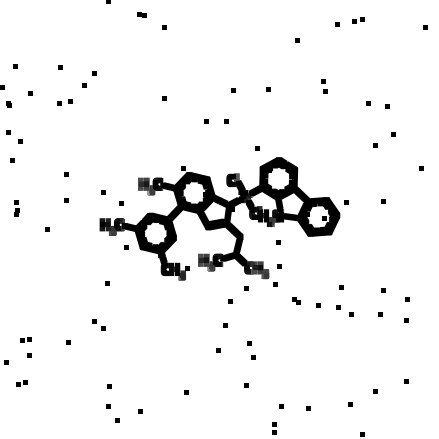 Cc1cc(C)cc(-c2c(C)ccc3c2C=C(CC(C)C)[CH]3[Zr]([Cl])([Cl])[c]2cccc3c2[SiH2]c2ccccc2-3)c1